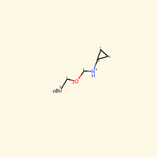 CCCCCOCNC1CC1